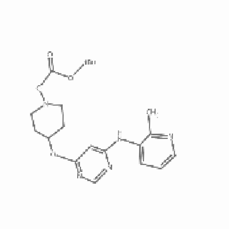 Cc1ncccc1Nc1cc(OC2CCN(OC(=O)OC(C)(C)C)CC2)ncn1